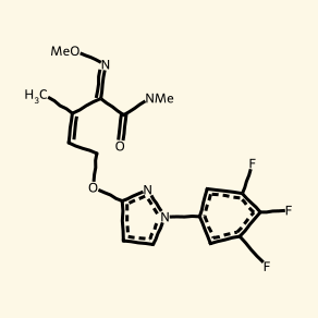 CNC(=O)/C(=N/OC)C(C)=CCOc1ccn(-c2cc(F)c(F)c(F)c2)n1